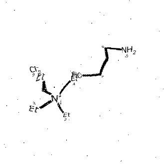 CC[N+](CC)(CC)CC.NCCO.[Cl-]